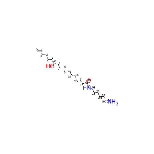 CCCCCCC(O)CCCCCCCCCCC(=O)NCCCCCCN